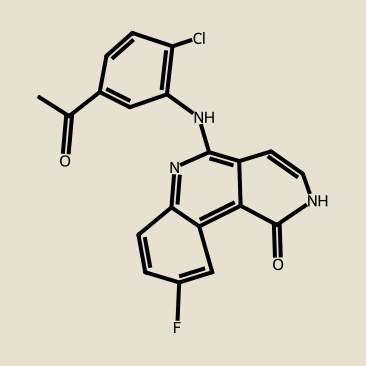 CC(=O)c1ccc(Cl)c(Nc2nc3ccc(F)cc3c3c(=O)[nH]ccc23)c1